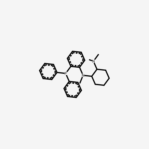 CN(C)C1CCCCC1N(C)c1ccccc1P(c1ccccc1)c1ccccc1